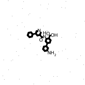 Nc1cccc(-c2ccc(C(=O)O)c(NC(=O)c3cncc(-c4ccccc4)c3)c2)c1